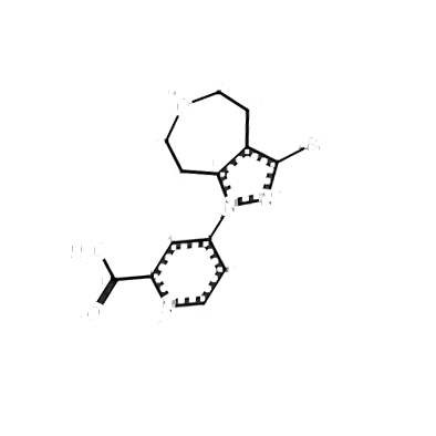 CC(=O)c1cc(-n2nc(Br)c3c2CCOCC3)ccn1